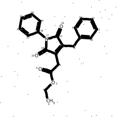 CCOC(=O)CC1=C(Cc2ccccc2)C(=O)N(c2ccccc2)C1=O